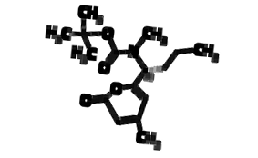 CCC[C@H](c1cc(C)cc(=O)o1)N(C)C(=O)OC(C)(C)C